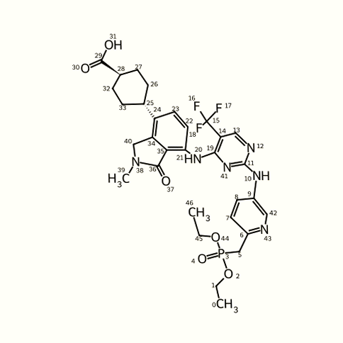 CCOP(=O)(Cc1ccc(Nc2ncc(C(F)(F)F)c(Nc3ccc([C@H]4CC[C@H](C(=O)O)CC4)c4c3C(=O)N(C)C4)n2)cn1)OCC